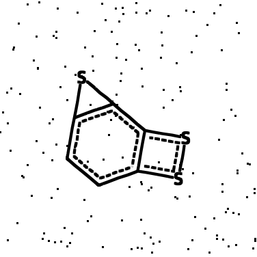 c1cc2ssc2c2c1S2